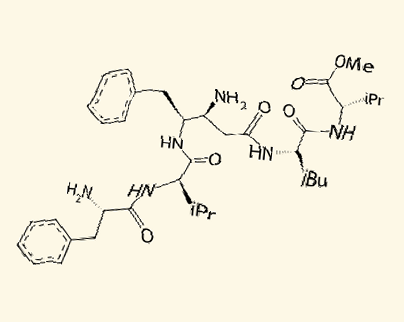 CC[C@H](C)[C@H](NC(=O)C[C@H](N)[C@H](Cc1ccccc1)NC(=O)[C@H](NC(=O)[C@@H](N)Cc1ccccc1)C(C)C)C(=O)N[C@H](C(=O)OC)C(C)C